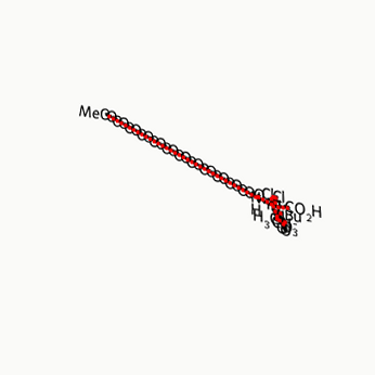 CCCCN1C(=CC=Cc2n(CCCCCC(=O)O)c3cc(Cl)c(Cl)cc3[n+]2CCCCCC(=O)NCCOCCOCCOCCOCCOCCOCCOCCOCCOCCOCCOCCOCCOCCOCCOCCOCCOCCOCCOCCOCCOCCOCCOCCOC)C(C)(C)c2cc(S(=O)(=O)[O-])ccc21